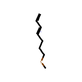 C=C/C=C/CCCSC